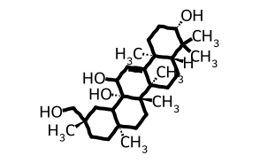 CC1(C)[C@@H](O)CC[C@]2(C)C3=CC(O)[C@]4(O)C5C[C@@](C)(CO)CC[C@]5(C)CC[C@@]4(C)[C@]3(C)CC[C@@H]12